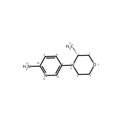 C[C@@H]1COCCN1c1ccc(N)nc1